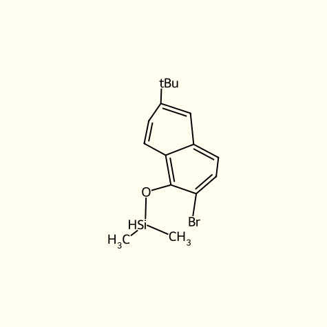 C[SiH](C)Oc1c(Br)ccc2cc(C(C)(C)C)ccc12